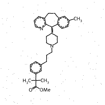 COC(=O)C(C)(C)c1cccc(CCCN2CCC(=C3c4ccc(C)cc4CCc4cccnc43)CC2)c1